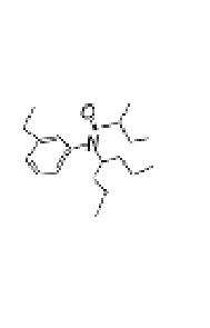 CCCC(CCC)N(C(=O)C(C)CC)c1cccc(CC)c1